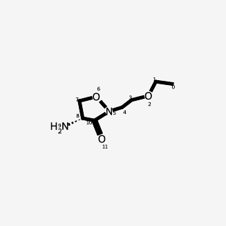 CCOCCN1OC[C@@H](N)C1=O